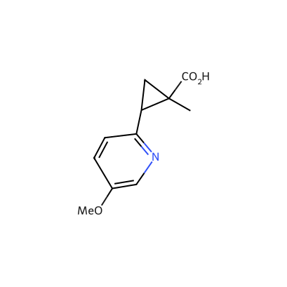 COc1ccc(C2CC2(C)C(=O)O)nc1